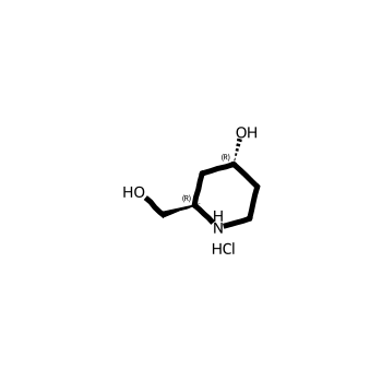 Cl.OC[C@H]1C[C@H](O)CCN1